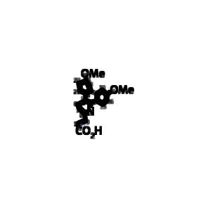 COc1ccc(-c2ccc(/C=C/C(=O)O)nc2-c2ccc(OC)cc2)cc1